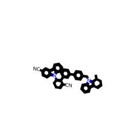 CC1CC=Cc2c1n(Cc1ccc(-c3cccc(C4=C(n5c6ccccc6c6cc(C#N)ccc65)CCC=C4C#N)c3)cc1)c1ccccc21